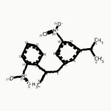 CC(C)c1cc(CC(C)c2ccccc2[N+](=O)[O-])cc([N+](=O)[O-])c1